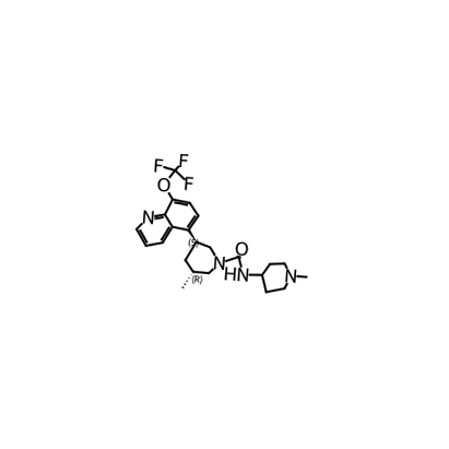 C[C@@H]1C[C@@H](c2ccc(OC(F)(F)F)c3ncccc23)CN(C(=O)NC2CCN(C)CC2)C1